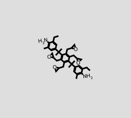 CCc1cc(C(C)(C)c2c(CC3CO3)c(CC3CO3)c(C(C)(C)c3cc(C)c(N)c(CC)c3)c(CC3CO3)c2CC2CO2)cc(C)c1N